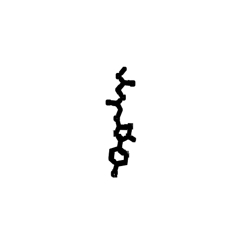 COC(=O)COC(=O)COc1nc(-c2ccc(Cl)cn2)n(C)n1